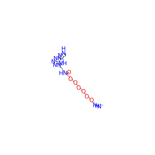 [N-]=[N+]=NCCOCCOCCOCCOCCOCCOCCC(=O)NCCCCN1NC(c2cnc3[nH]ccc3c2)c2c(N)ncnc21